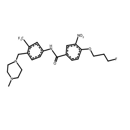 CN1CCN(Cc2ccc(NC(=O)c3ccc(OCCCF)c([N+](=O)[O-])c3)cc2C(F)(F)F)CC1